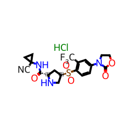 Cl.N#CC1(NC(=O)[C@@H]2C[C@@H](S(=O)(=O)c3ccc(N4CCOC4=O)cc3C(F)(F)F)CN2)CC1